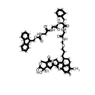 CC[C@@]1(O)C(=O)OCc2c1cc1n(c2=O)Cc2c-1nc1cc(F)c(C)c3c1c2C(CCCOCNC(=O)CNC(=O)[C@H](Cc1ccccc1)NC(=O)CNC(=O)CNC(=O)OCC1c2ccccc2-c2ccccc21)CC3